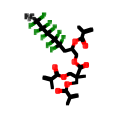 C=C(C)C(=O)OCC(C)(COC(=O)C(=C)C)C(=O)OCC(CC(F)(F)C(F)(F)C(F)(F)C(F)(F)C(F)(F)C(F)(F)F)OC(=O)C(=C)C